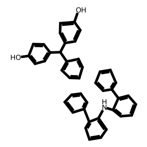 Oc1ccc(C(c2ccccc2)c2ccc(O)cc2)cc1.c1ccc(-c2ccccc2Nc2ccccc2-c2ccccc2)cc1